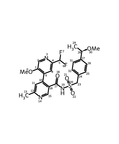 COc1cnc(C(F)F)cc1-c1cc(C)ncc1C(=O)NS(=O)(=O)Cc1ccc([C@@H](C)OC)cc1